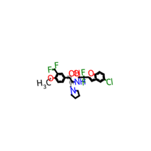 COc1ccc([C@H](O)[C@@H](CN2CCCC2)NC(=O)C(F)(F)c2cc3cc(Cl)ccc3o2)cc1C(F)F